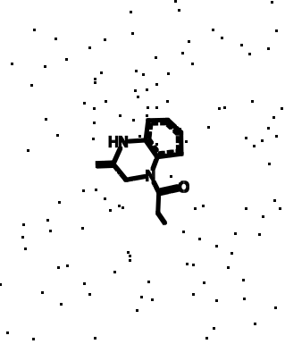 C=C1CN(C(=O)CC)c2ccccc2N1